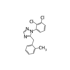 Cc1ccccc1Cc1ncnn1-c1cccc(Cl)c1Cl